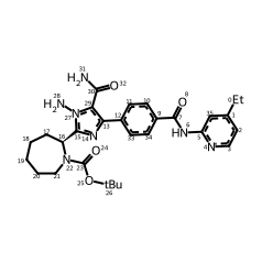 CCc1ccnc(NC(=O)c2ccc(-c3nc([C@@H]4CCCCCN4C(=O)OC(C)(C)C)n(N)c3C(N)=O)cc2)c1